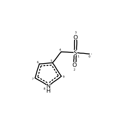 [CH2]S(=O)(=O)Cc1cc[nH]c1